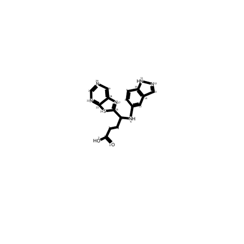 O=C(O)CCC(Nc1ccc2[nH]ncc2c1)c1nc2cncnc2s1